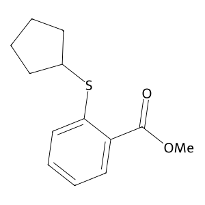 COC(=O)c1ccccc1SC1CCCC1